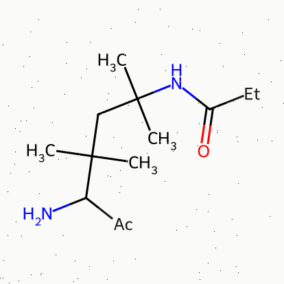 CCC(=O)NC(C)(C)CC(C)(C)C(N)C(C)=O